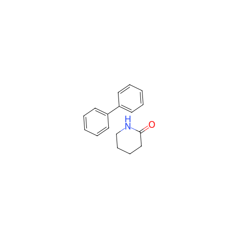 O=C1CCCCN1.c1ccc(-c2ccccc2)cc1